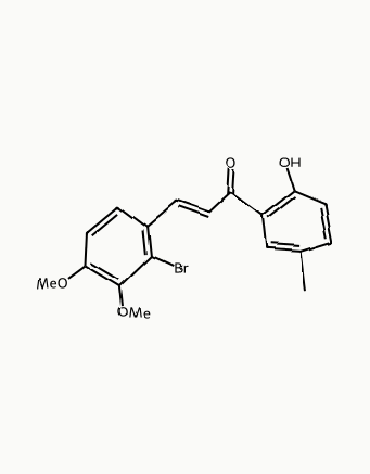 COc1ccc(C=CC(=O)c2cc(C)ccc2O)c(Br)c1OC